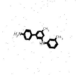 Cc1cccc(Nc2cc(C)cc(-c3ccc(N)cc3)c2)c1